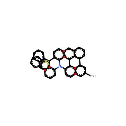 CC(C)(C)c1cc(-c2cccc3cccc(-c4ccccc4N(c4ccccc4-c4cccc5ccccc45)c4cccc5c4sc4ccccc45)c23)cc(C(C)(C)C)c1